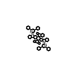 c1ccc(-c2cc(-c3ccccc3)nc(-n3c4ccccc4c4cc5c(cc43)C3(c4ccccc4-c4ccccc43)c3cc4c6ccccc6n(-c6cc(-c7ccccc7)cc(-c7ccccc7)n6)c4cc3C53c4ccccc4-c4ccccc43)c2)cc1